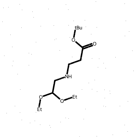 CCOC(CNCCC(=O)OC(C)(C)C)OCC